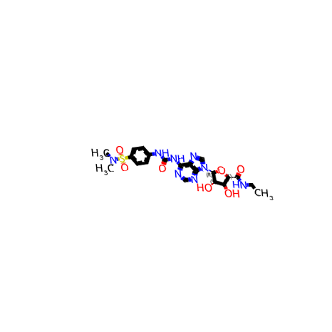 CCNC(=O)[C@H]1O[C@@H](n2cnc3c(NC(=O)Nc4ccc(S(=O)(=O)N(C)C)cc4)ncnc32)[C@@H](O)C1O